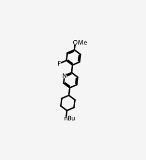 CCCCC1CCC(c2ccc(-c3ccc(OC)cc3F)nc2)CC1